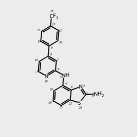 Nc1nc2c(Nc3cc(-c4ccc(C(F)(F)F)cc4)ccn3)cccc2s1